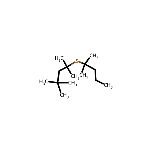 CCCC(C)(C)SC(C)(C)CC(C)(C)C